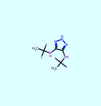 CC(I)(I)Pc1n[nH]nc1PC(C)(I)I